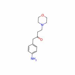 Nc1ccc(CC(=O)CCN2CCOCC2)cc1